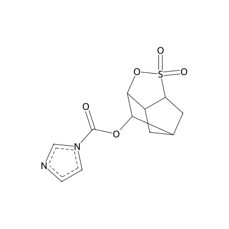 O=C(OC1C2CC3C1OS(=O)(=O)C3C2)n1ccnc1